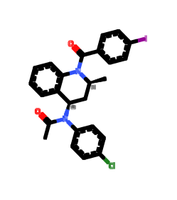 CC(=O)N(c1ccc(Cl)cc1)[C@@H]1C[C@H](C)N(C(=O)c2ccc(I)cc2)c2ccccc21